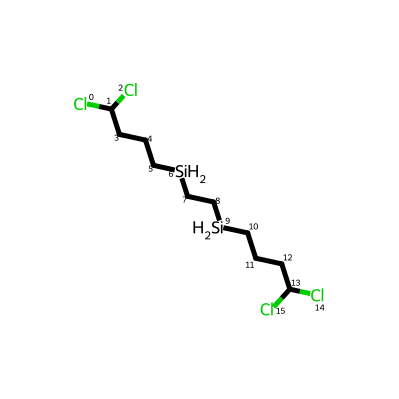 ClC(Cl)CCC[SiH2]CC[SiH2]CCCC(Cl)Cl